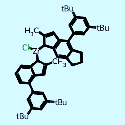 CC1=Cc2c(-c3cc(C(C)(C)C)cc(C(C)(C)C)c3)cccc2[CH]1[Zr]([Cl])[CH]1C(C)=Cc2c1cc1c(c2-c2cc(C(C)(C)C)cc(C(C)(C)C)c2)CCC1